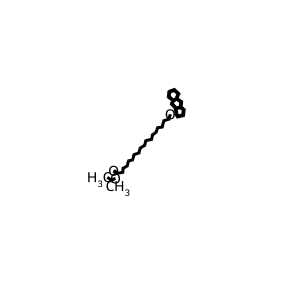 CC(C)OC(=O)CCCCCCCCCCCCCCCCCOc1cccc2cc3ccccc3cc12